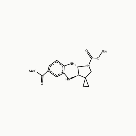 COC(=O)c1ccc(N)c(N[C@H]2CN(C(=O)OC(C)(C)C)CC23CC3)c1